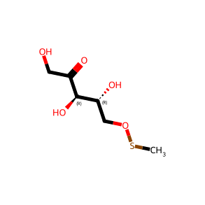 CSOC[C@@H](O)[C@@H](O)C(=O)CO